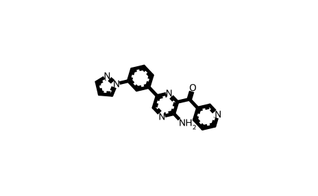 Nc1ncc(-c2cccc(-n3cccn3)c2)nc1C(=O)c1cccnc1